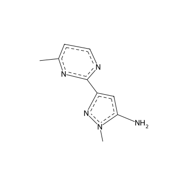 Cc1ccnc(-c2cc(N)n(C)n2)n1